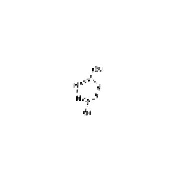 CC(C)(C)c1ccc(S)nn1